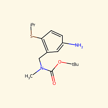 CC(C)Sc1ccc(N)cc1CN(C)C(=O)OC(C)(C)C